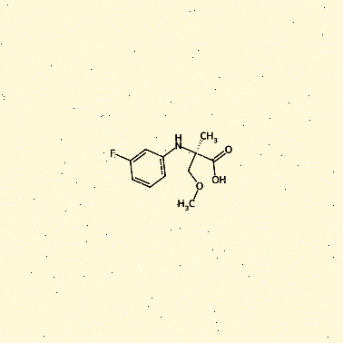 COC[C@@](C)(Nc1cccc(F)c1)C(=O)O